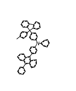 Cc1ccc(C2(c3ccc(N(c4ccccc4)c4ccc(-c5c6ccccc6c(-c6ccccc6)c6ccccc56)cc4)cc3)c3ccccc3-c3ccccc32)cc1